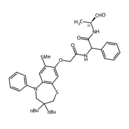 CCCCC1(CCCC)CSc2cc(OCC(=O)NC(C(=O)N[C@@H](C)C=O)c3ccccc3)c(SC)cc2N(c2ccccc2)C1